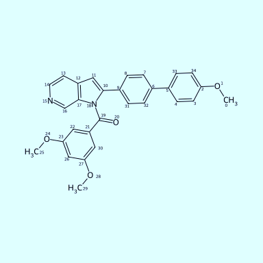 COc1ccc(-c2ccc(-c3cc4ccncc4n3C(=O)c3cc(OC)cc(OC)c3)cc2)cc1